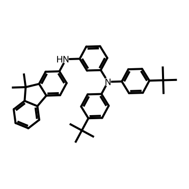 CC(C)(C)c1ccc(N(c2ccc(C(C)(C)C)cc2)c2cccc(Nc3ccc4c(c3)C(C)(C)c3ccccc3-4)c2)cc1